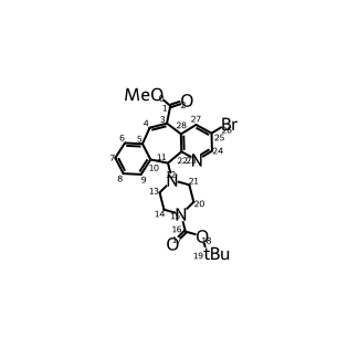 COC(=O)C1=Cc2ccccc2C(N2CCN(C(=O)OC(C)(C)C)CC2)c2ncc(Br)cc21